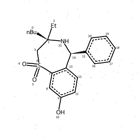 CCCC[C@]1(CC)CS(=O)(=O)c2cc(O)ccc2[C@H](c2ccccc2)N1